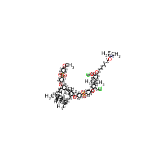 C=C/C(=C\C)OCCCCCCCCOc1ccc(C(C)(C)c2ccc(Oc3ccc(S(=O)(=O)c4ccc(Oc5ccc(C(C)(C)c6ccc(Oc7ccc(S(=O)(=O)c8ccc(OC)cc8)cc7)c(CCC[Si](CC)(CC)CC)c6)cc5CCC[Si](CC)(CC)CC)cc4)cc3)c(CCl)c2)cc1OCl